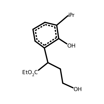 CCOC(=O)C(CCO)c1cccc(C(C)C)c1O